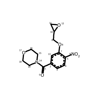 O=C(c1ccc([N+](=O)[O-])c(OCC2CO2)c1)N1CCOCC1